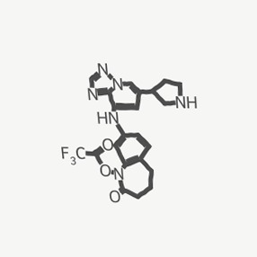 O=C1CCCc2ccc(Nc3cc(C4CCNC4)cn4ncnc34)cc2N1OC(=O)C(F)(F)F